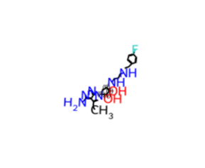 CCc1cn([C@@H]2C[C@H](CNCCCNCCc3ccc(F)cc3)[C@@H](O)[C@H]2O)c2ncnc(N)c12